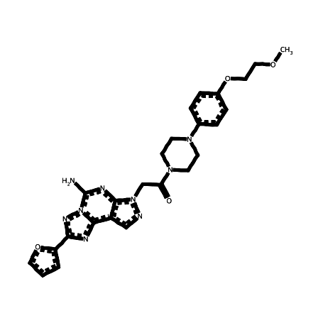 COCCOc1ccc(N2CCN(C(=O)Cn3ncc4c3nc(N)n3nc(-c5ccco5)nc43)CC2)cc1